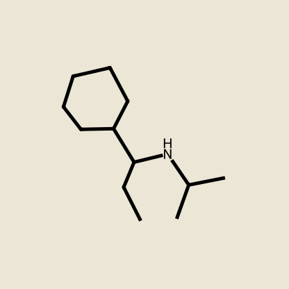 CCC(NC(C)C)C1CCCCC1